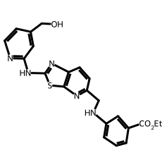 CCOC(=O)c1cccc(NCc2ccc3nc(Nc4cc(CO)ccn4)sc3n2)c1